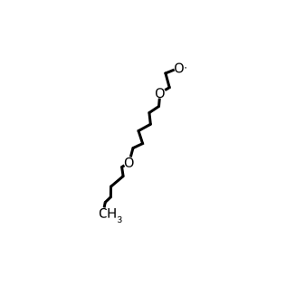 CCCCCCOCCCCCCOCC[O]